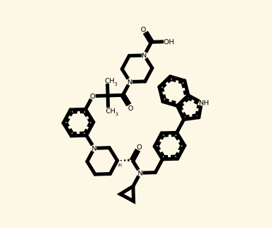 CC(C)(Oc1cccc(N2CCC[C@@H](C(=O)N(Cc3ccc(-c4c[nH]c5ccccc45)cc3)C3CC3)C2)c1)C(=O)N1CCN(C(=O)O)CC1